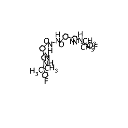 CC(C)(CNc1ccc(-c2cccc(C(=O)NCCNC(=O)c3cccc(-c4ccc(NCC(C)(C)c5ccc(F)cc5)nn4)c3)c2)nn1)c1ccc(F)cc1